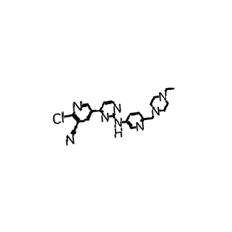 CCN1CCN(Cc2ccc(Nc3nccc(-c4cnc(Cl)c(C#N)c4)n3)cn2)CC1